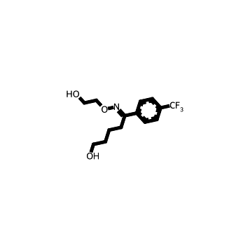 OCCCC/C(=N\OCCO)c1ccc(C(F)(F)F)cc1